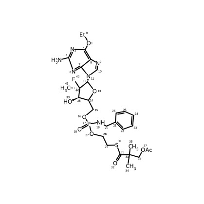 CCOc1nc(N)nc2c1ncn2[C@@H]1OC(COP(=O)(NCc2ccccc2)OCCSC(=O)C(C)(C)COC(C)=O)[C@@H](O)[C@@]1(C)F